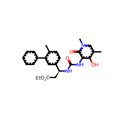 CCOC(=O)C[C@H](NC(=O)Nc1c(O)c(C)cn(C)c1=O)c1ccc(C)c(-c2ccccc2)c1